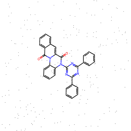 O=c1c2cc3ccccc3c(=O)n2c2ccccc2n1-c1nc(-c2ccccc2)nc(-c2ccccc2)n1